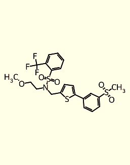 COCCN(Cc1ccc(-c2cccc(S(C)(=O)=O)c2)s1)S(=O)(=O)c1ccccc1C(F)(F)F